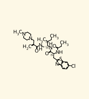 C=C(CN1CCN(C)CC1)C(=O)NC[C@@H](NC(=O)[C@H](Cc1nc2ccc(Cl)cc2s1)NC(=O)CC)[C@@H](C)CC